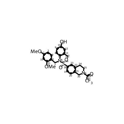 COc1ccc(CN(c2ccc(O)cc2F)S(=O)(=O)c2ccc3c(c2)CCN(C(=O)C(F)(F)F)C3)c(OC)c1